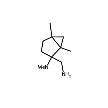 CNC1(CN)CCC2(C)CC21C